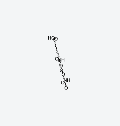 O=[C]CCC(=O)NCCCOCCOCCOCCCNC(=O)CCCCCCCCCCCCC(=O)O